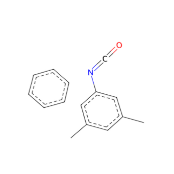 Cc1cc(C)cc(N=C=O)c1.c1ccccc1